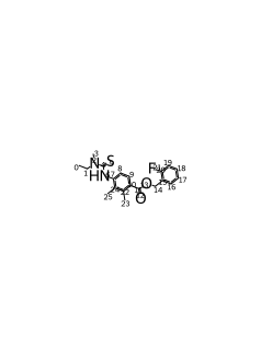 CCN(C)C(=S)Nc1ccc(C(=O)OCc2ccccc2F)c(C)c1C